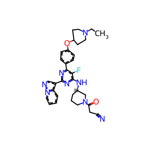 CCN1CCC(Oc2ccc(-c3nc(-c4cnn5ccccc45)nc(N[C@@H]4CCCN(C(=O)CC#N)C4)c3F)cc2)CC1